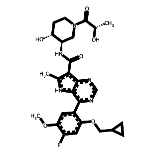 COc1cc(-c2ncnc3c(C(=O)N[C@@H]4CN(C(=O)[C@H](C)O)CC[C@H]4O)c(C)[nH]c23)c(OCC2CC2)cc1F